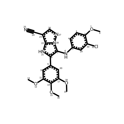 COc1ccc(Nc2c(-c3cc(OC)c(OC)c(OC)c3)[nH]c3c(C#N)cnn23)cc1Cl